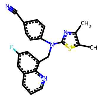 Cc1nc(N(Cc2cc(F)cc3cccnc23)c2ccc(C#N)cc2)sc1C